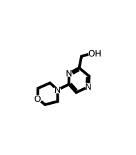 OCc1cncc(N2CCOCC2)n1